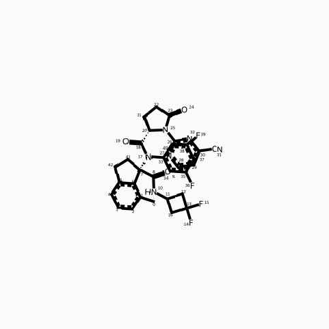 Cc1cccc2c1[C@@](C(=O)NC1CC(F)(F)C1)(N(C(=O)[C@@H]1CCC(=O)N1c1nccc(C#N)n1)c1cc(F)cc(F)c1)CC2